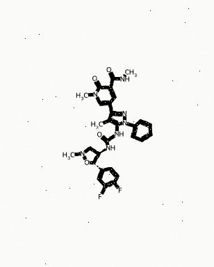 CNC(=O)c1cc(-c2nn(-c3ccccc3)c(NC(=O)N[C@@H]3CN(C)O[C@H]3c3ccc(F)c(F)c3)c2C)cn(C)c1=O